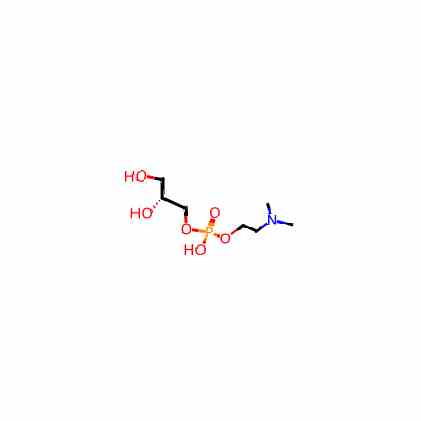 CN(C)CCOP(=O)(O)OC[C@H](O)CO